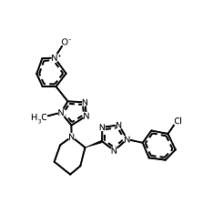 Cn1c(-c2ccc[n+]([O-])c2)nnc1N1CCCC[C@@H]1c1nnn(-c2cccc(Cl)c2)n1